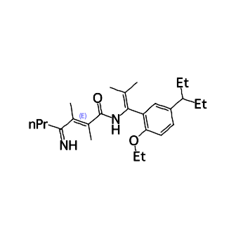 CCCC(=N)/C(C)=C(\C)C(=O)NC(=C(C)C)c1cc(C(CC)CC)ccc1OCC